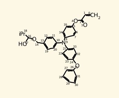 C=CC(=O)Oc1ccc(N(c2ccc(COC(O)C(C)C)cc2)c2ccc(Oc3ccccc3)cc2)cc1